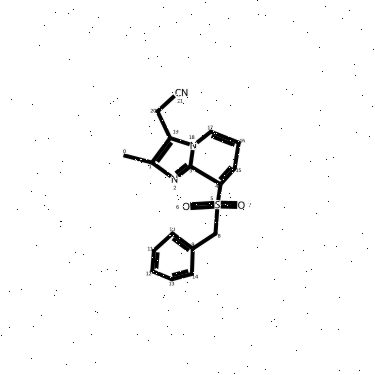 Cc1nc2c(S(=O)(=O)Cc3ccccc3)cccn2c1CC#N